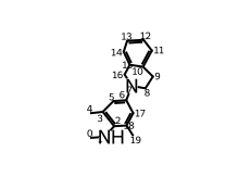 CNc1c(C)cc(N2CCc3ccccc3C2)cc1C